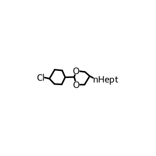 CCCCCCCC1COC(C2CCC(Cl)CC2)OC1